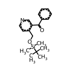 CC(C)(C)[Si](C)(C)OCc1ccncc1C(=O)c1ccccc1